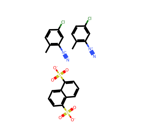 Cc1ccc(Cl)cc1[N+]#N.Cc1ccc(Cl)cc1[N+]#N.O=S(=O)([O-])c1cccc2c(S(=O)(=O)[O-])cccc12